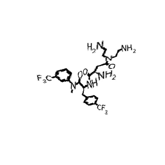 CN(C(=O)[C@H](Cc1ccc(C(F)(F)F)cc1)NC(=O)[C@@H](N)CC(=O)N(CCN)CCN)c1cccc(C(F)(F)F)c1